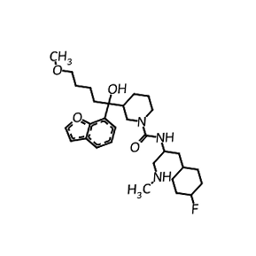 CNCC(CC1CCC(F)CC1)NC(=O)N1CCCC(C(O)(CCCCOC)c2cccc3ccoc23)C1